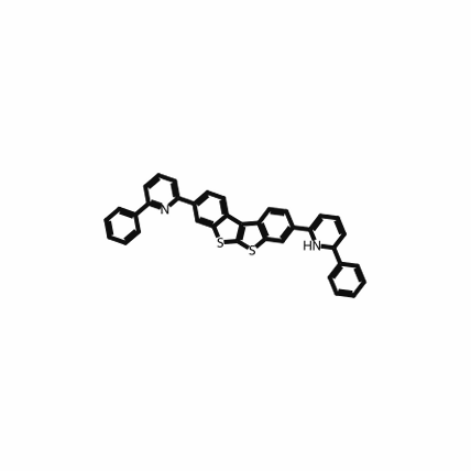 C1=CC(c2ccccc2)NC(c2ccc3c(c2)sc2sc4cc(-c5cccc(-c6ccccc6)n5)ccc4c23)=C1